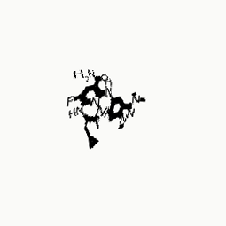 C[C@H](N)[C@@H](CC1CC1)Nc1nc(Nc2ccc3c(c2)c(N(C)C)nn3C)c(C(N)=O)cc1F